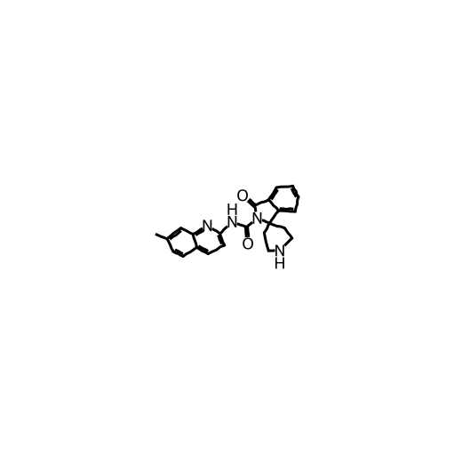 Cc1ccc2ccc(NC(=O)N3C(=O)c4ccccc4C34CCNCC4)nc2c1